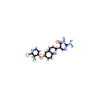 CN(C)c1ncc(-c2ccc3cc(Oc4ccnc(Cl)c4Cl)ccc3n2)c(=O)n1C